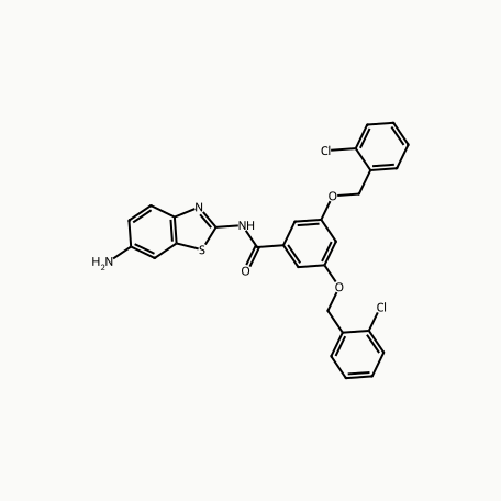 Nc1ccc2nc(NC(=O)c3cc(OCc4ccccc4Cl)cc(OCc4ccccc4Cl)c3)sc2c1